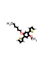 CCCCCCOc1cc(-c2cccs2)c(OC)cc1-c1cccs1